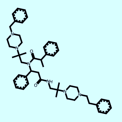 CC(C(=O)N(CC(C)(C)N1CCN(Cc2ccccc2)CC1)C(CC(=O)NCC(C)(C)N1CCN(CCc2ccccc2)CC1)c1ccccc1)c1ccccc1